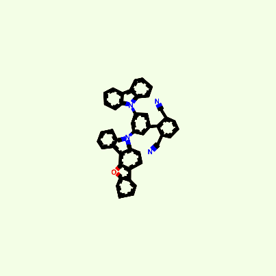 N#Cc1cccc(C#N)c1-c1cc(-n2c3ccccc3c3ccccc32)cc(-n2c3ccccc3c3c4oc5ccccc5c4ccc32)c1